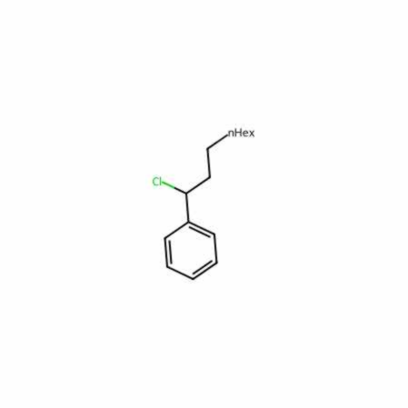 CCCCCCCCC(Cl)c1ccccc1